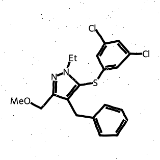 CCn1nc(COC)c(Cc2ccccc2)c1Sc1cc(Cl)cc(Cl)c1